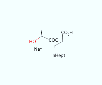 CC(O)C(=O)[O-].CCCCCCCCCC(=O)O.[Na+]